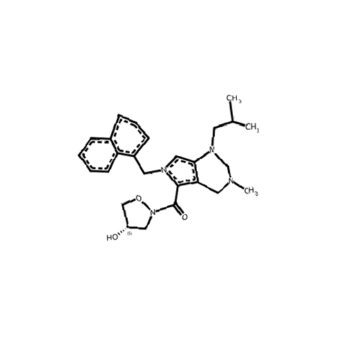 CC(C)CN1CN(C)Cc2c1cn(Cc1cccc3ccccc13)c2C(=O)N1C[C@H](O)CO1